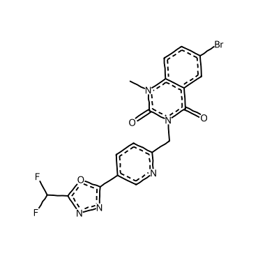 Cn1c(=O)n(Cc2ccc(-c3nnc(C(F)F)o3)cn2)c(=O)c2cc(Br)ccc21